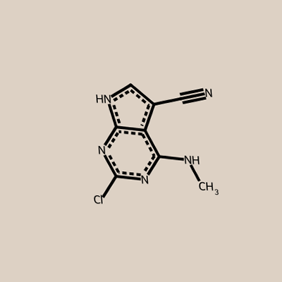 CNc1nc(Cl)nc2[nH]cc(C#N)c12